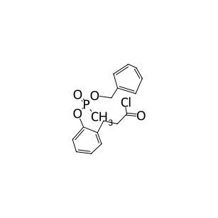 CP(=O)(OCc1ccccc1)Oc1ccccc1CCC(=O)Cl